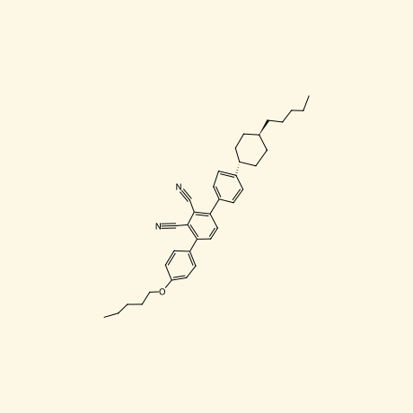 CCCCCOc1ccc(-c2ccc(-c3ccc([C@H]4CC[C@H](CCCCC)CC4)cc3)c(C#N)c2C#N)cc1